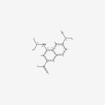 CC(=O)c1cc2cnc([S+](C)[O-])nc2c(NC(C)C)n1